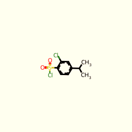 CC(C)c1ccc(S(=O)(=O)Cl)c(Cl)c1